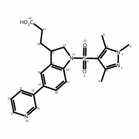 Cc1nn(C)c(C)c1S(=O)(=O)N1CC(CCC(=O)O)c2cc(-c3cccnc3)ccc21